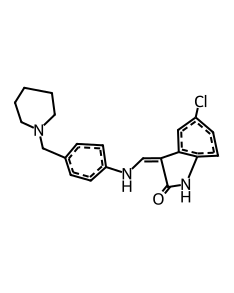 O=C1Nc2ccc(Cl)cc2C1=CNc1ccc(CN2CCCCC2)cc1